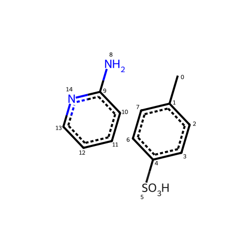 Cc1ccc(S(=O)(=O)O)cc1.Nc1ccccn1